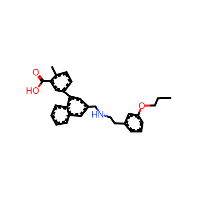 CCCOc1cccc(CCNCc2cc(-c3ccc(C)c(C(=O)O)c3)c3ccccc3c2)c1